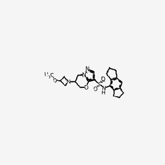 COC1CN(C2COc3c(S(=O)(=O)Nc4c5c(cc6c4CCC6)CCC5)cnn3C2)C1